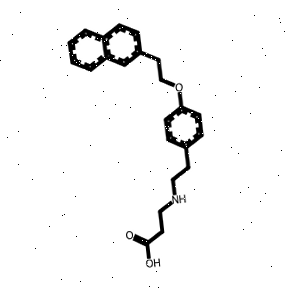 O=C(O)CCNCCc1ccc(OCCc2ccc3ccccc3c2)cc1